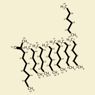 CCCCCC.CCCCCC.CCCCCC.CCCCCC.CCCCCC.CCCCCC.CCCCCC.CCCCCCCC(C)=O